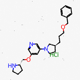 Cl.c1ccc(COCCC[C@H]2CCN(c3cncc(OC[C@@H]4CCCN4)c3)C2)cc1